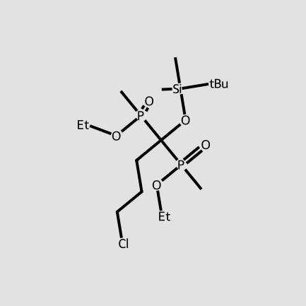 CCOP(C)(=O)C(CCCCl)(O[Si](C)(C)C(C)(C)C)P(C)(=O)OCC